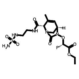 CCOC(=O)[C@H](F)ON1C(=O)N2C[C@H]1C=C(C)[C@H]2C(=O)NCCNS(N)(=O)=O